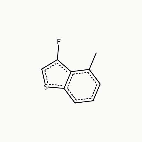 Cc1cccc2scc(F)c12